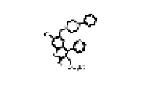 CCOC(=O)Cc1c(-c2cccnc2)c2cc(CN3CCN(c4ccccc4)CC3)c(Cl)cc2oc1=O